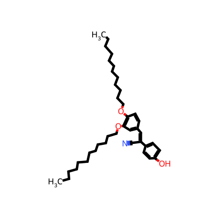 CCCCCCCCCCCCOc1ccc(C=C(C#N)c2ccc(O)cc2)cc1OCCCCCCCCCCCC